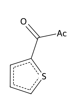 CC(=O)C(=O)c1cccs1